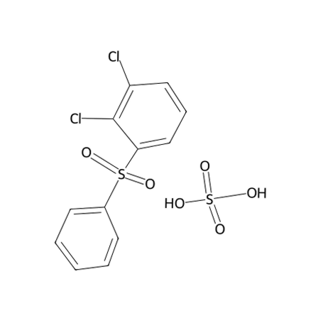 O=S(=O)(O)O.O=S(=O)(c1ccccc1)c1cccc(Cl)c1Cl